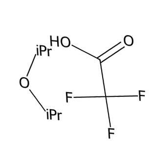 CC(C)OC(C)C.O=C(O)C(F)(F)F